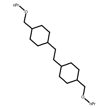 CCCOCC1CCC(CCC2CCC(COCCC)CC2)CC1